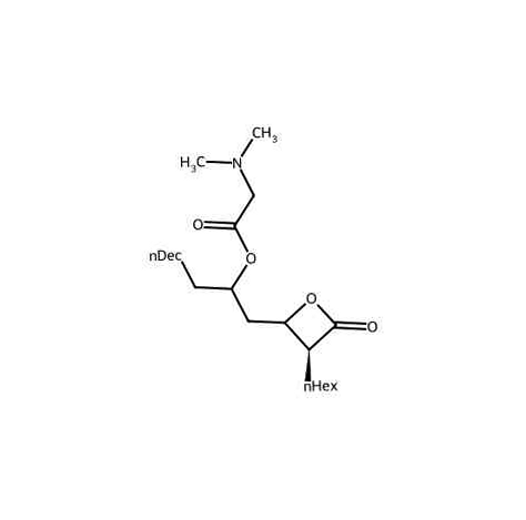 CCCCCCCCCCCC(CC1OC(=O)[C@H]1CCCCCC)OC(=O)CN(C)C